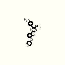 Nc1ccc(-c2nc(-c3cccc(OC4CCOCC4)c3F)cnc2N)cc1